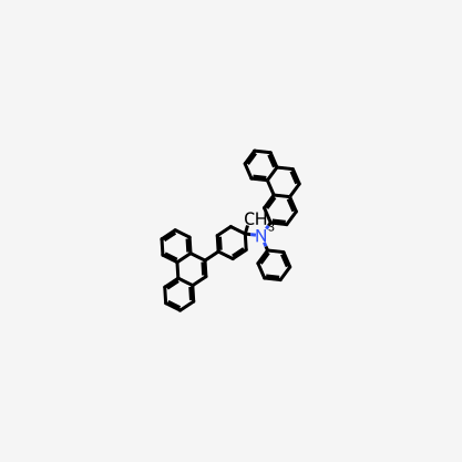 CC1(N(c2ccccc2)c2ccc3ccc4ccccc4c3c2)C=CC(c2cc3ccccc3c3ccccc23)=CC1